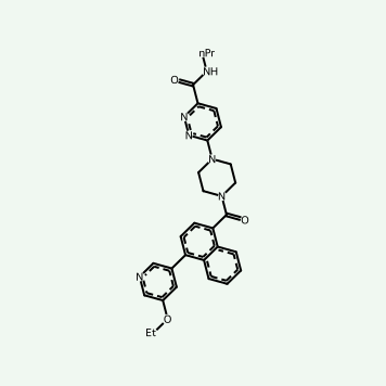 CCCNC(=O)c1ccc(N2CCN(C(=O)c3ccc(-c4cncc(OCC)c4)c4ccccc34)CC2)nn1